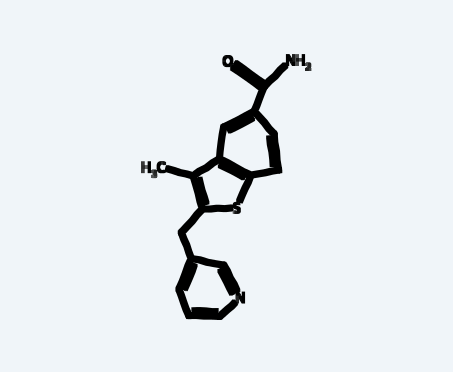 Cc1c(Cc2cccnc2)sc2ccc(C(N)=O)cc12